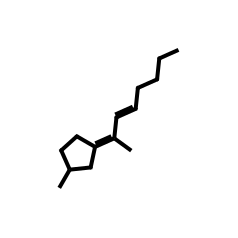 CCCCC=CC(C)=C1CCC(C)C1